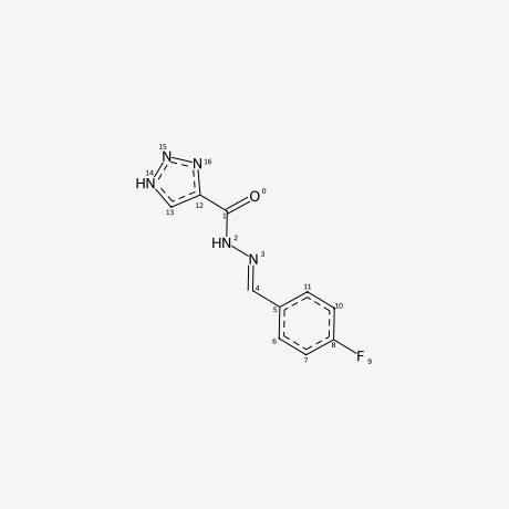 O=C(NN=Cc1ccc(F)cc1)c1c[nH]nn1